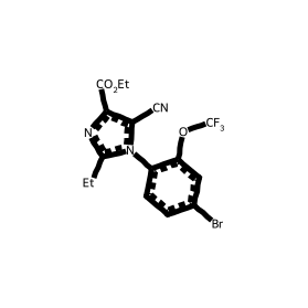 CCOC(=O)c1nc(CC)n(-c2ccc(Br)cc2OC(F)(F)F)c1C#N